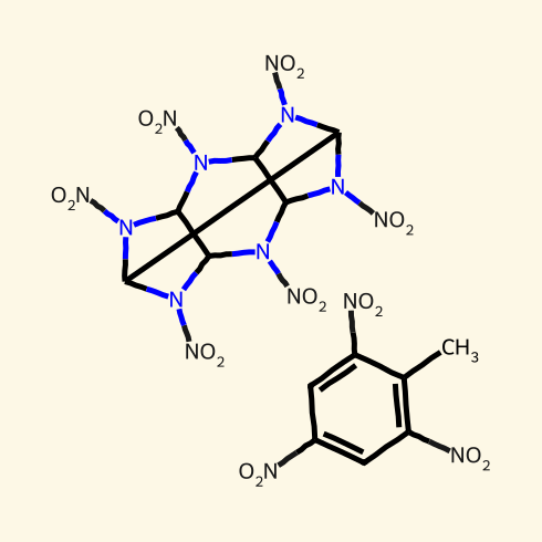 Cc1c([N+](=O)[O-])cc([N+](=O)[O-])cc1[N+](=O)[O-].O=[N+]([O-])N1C2C3N([N+](=O)[O-])C1C1N([N+](=O)[O-])C(C(N1[N+](=O)[O-])N3[N+](=O)[O-])N2[N+](=O)[O-]